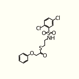 O=C(COc1ccccc1)SCCNS(=O)(=O)c1cc(Cl)ccc1Cl